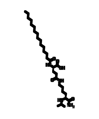 CCCCCCCCCCCCCCCC(=O)N[C@@H](CCC(=O)NCCCC[C@H](NC(C)C)C(N)=O)C(=O)O